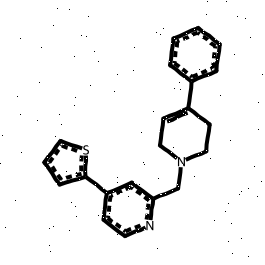 C1=C(c2ccccc2)CCN(Cc2cc(-c3cccs3)ccn2)C1